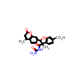 Cc1cc(=O)oc2cc(C(O)C(C)(C(=O)NC(N)=O)c3ccc(C(=O)O)cc3)ccc12